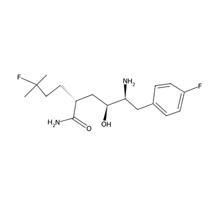 CC(C)(F)CC[C@H](C[C@H](O)[C@@H](N)Cc1ccc(F)cc1)C(N)=O